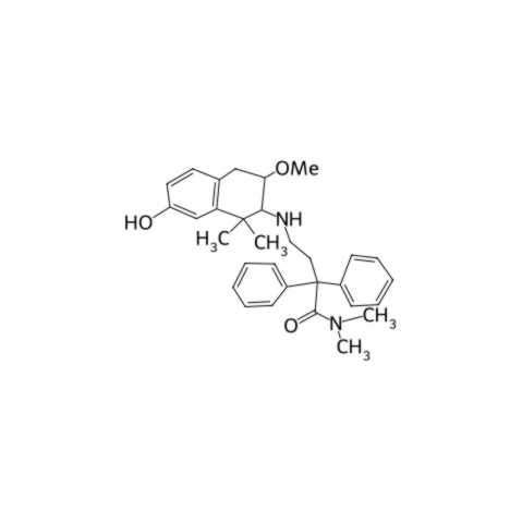 COC1Cc2ccc(O)cc2C(C)(C)C1NCCC(C(=O)N(C)C)(c1ccccc1)c1ccccc1